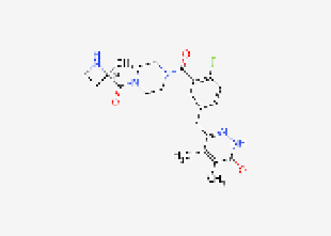 Cc1c(Cc2ccc(F)c(C(=O)N3CCN(C(=O)[C@@]4(C)CCN4)CC3)c2)n[nH]c(=O)c1C